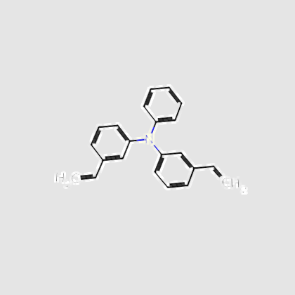 C=Cc1cccc(N(c2ccccc2)c2cccc(C=C)c2)c1